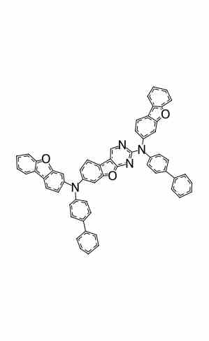 c1ccc(-c2ccc(N(c3ccc4c(c3)oc3ccccc34)c3ccc4c(c3)oc3nc(N(c5ccc(-c6ccccc6)cc5)c5ccc6c(c5)oc5ccccc56)ncc34)cc2)cc1